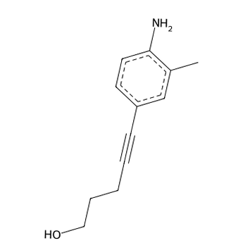 Cc1cc(C#CCCCO)ccc1N